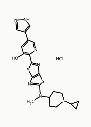 CN(c1nc2sc(-c3ncc(-c4cn[nH]c4)cc3O)nc2s1)C1CCN(C2CC2)CC1.Cl